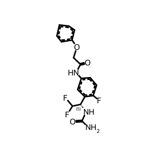 NC(=O)N[C@@H](c1cc(NC(=O)COc2ccccc2)ccc1F)C(F)F